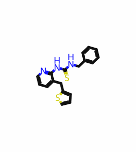 S=C(NCc1ccccc1)Nc1ncccc1Cc1cccs1